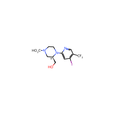 O=C(O)N1CCN(c2cc(I)c(C(F)(F)F)cn2)[C@@H](CO)C1